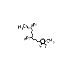 CC=CC(CCC)CCCC(CCC)CCCc1ccc(C)c(F)c1F